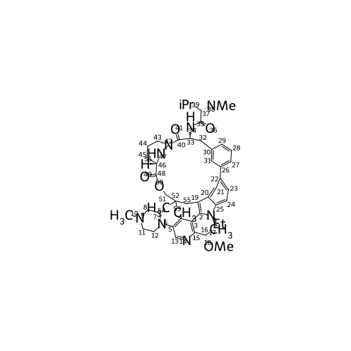 CCn1c(-c2cc(N3CCN(C)CC3)cnc2[C@H](C)OC)c2c3cc(ccc31)-c1cccc(c1)C[C@H](NC(=O)[C@@H](NC)C(C)C)C(=O)N1CCC[C@H](N1)C(=O)OCC(C)(C)C2